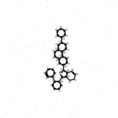 c1cccc(-c2ccccc2-c2sc(-c3ccc4c(ccc5cc(-c6ccccc6)ccc54)c3)c3c2CCC=C3)c#1